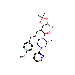 CCOc1ccc(CCC[C@H](C(=O)N2CCN(c3ccccn3)C[C@H]2C)[C@@H]2OC(C)(C)OC2C=O)cc1